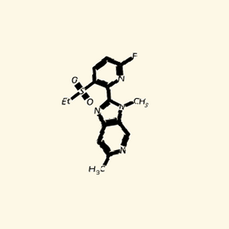 CCS(=O)(=O)c1ccc(F)nc1-c1nc2cc(C)ncc2n1C